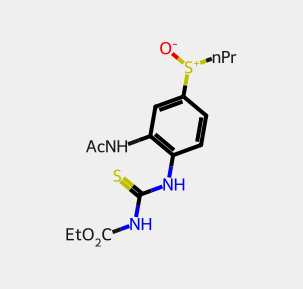 CCC[S+]([O-])c1ccc(NC(=S)NC(=O)OCC)c(NC(C)=O)c1